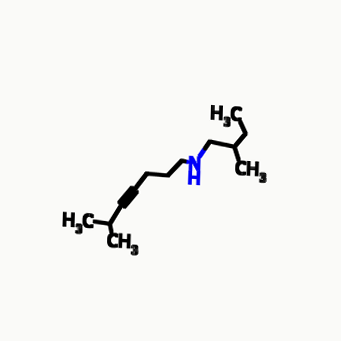 CCC(C)CNCCCC#CC(C)C